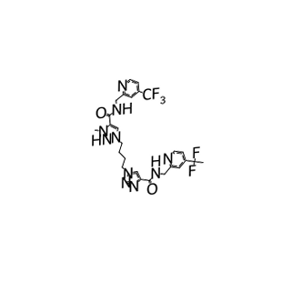 CN1NN(CCCCn2cc(C(=O)NCc3cc(C(C)(F)F)ccn3)nn2)C=C1C(=O)NCc1cc(C(F)(F)F)ccn1